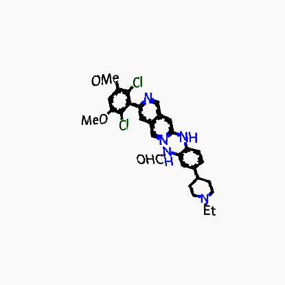 CCN1CCC(c2ccc(Nc3cc4cnc(-c5c(Cl)c(OC)cc(OC)c5Cl)cc4cn3)c(NC=O)c2)CC1